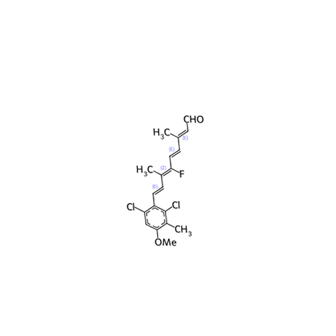 COc1cc(Cl)c(/C=C/C(C)=C(F)/C=C/C(C)=C/C=O)c(Cl)c1C